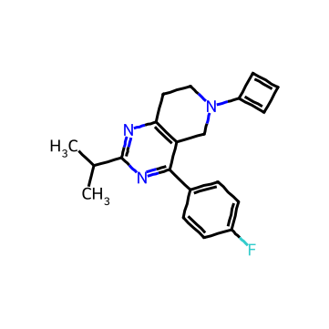 CC(C)c1nc2c(c(-c3ccc(F)cc3)n1)CN(C1=CC=C1)CC2